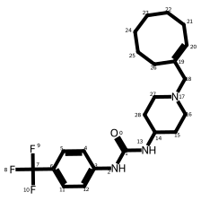 O=C(Nc1ccc(C(F)(F)F)cc1)NC1CCN(CC2=CCCCCCC2)CC1